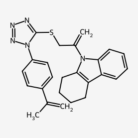 C=C(C)c1ccc(-n2nnnc2SCC(=C)n2c3c(c4ccccc42)CCCC3)cc1